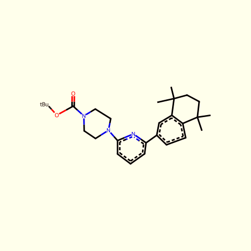 CC(C)(C)OC(=O)N1CCN(c2cccc(-c3ccc4c(c3)C(C)(C)CCC4(C)C)n2)CC1